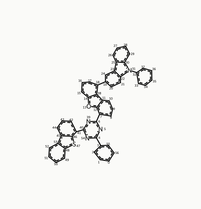 c1ccc(-c2nc(-c3cccc4c3oc3cccc(-c5ccc6c(c5)c5ccccc5n6-c5ccccc5)c34)nc(-c3cccc4c3sc3ccccc34)n2)cc1